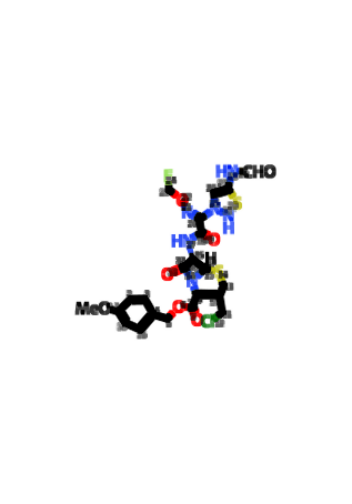 COc1ccc(COC(=O)C2=C(CCl)CS[C@H]3[C@H](NC(=O)C(=NOCF)N4C=C(NC=O)SN4)C(=O)N23)cc1